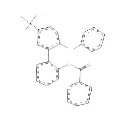 CC(C)(C)c1ccc([Se]c2ccccc2)c(-c2ccccc2NC(=O)c2ccccn2)c1